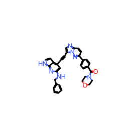 O=C(c1ccc(-c2ccc3ncc(C#Cc4cc(NCc5ccccc5)nc5[nH]ccc45)n3n2)cc1)N1CCOCC1